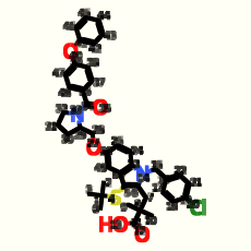 CC(C)(C)Sc1c(CC(C)(C)C(=O)O)n(Cc2ccc(Cl)cc2)c2ccc(OCC3CCCN3C(=O)c3ccc(Oc4ccccc4)cc3)cc12